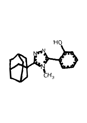 Cn1c(-c2ccccc2O)nnc1C12CC3CC(CC(C3)C1)C2